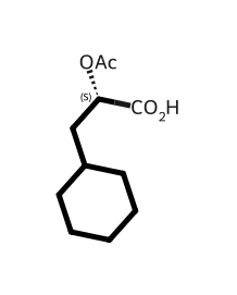 CC(=O)O[C@@H](CC1CCCCC1)C(=O)O